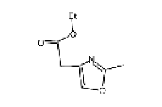 CCOC(=O)Cc1coc(C)n1